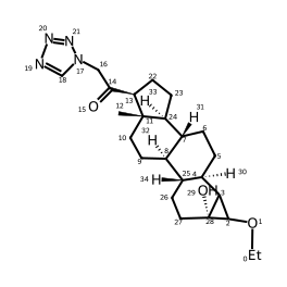 CCOC1C2[C@@H]3CC[C@@H]4[C@H](CC[C@]5(C)[C@@H](C(=O)Cn6cnnn6)CC[C@@H]45)[C@H]3CC[C@]12O